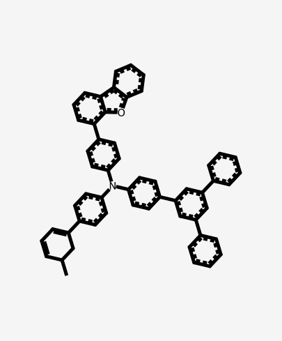 CC1C=CC=C(c2ccc(N(c3ccc(-c4cc(-c5ccccc5)cc(-c5ccccc5)c4)cc3)c3ccc(-c4cccc5c4oc4ccccc45)cc3)cc2)C1